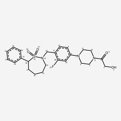 O=C(CO)N1CCN(c2ccc(CN3CCCCC(c4ccccc4)S3(=O)=O)c(F)c2)CC1